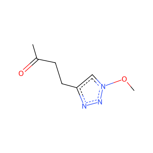 COn1cc(CCC(C)=O)nn1